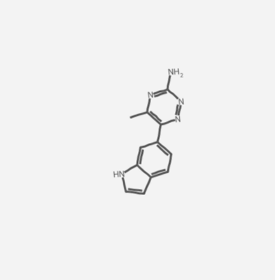 Cc1nc(N)nnc1-c1ccc2cc[nH]c2c1